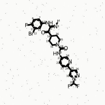 O=C(/C(=N/I)Nc1ccc(F)c(Br)c1)C1CCN(C(=O)Nc2ccc(-c3cnn(C(F)F)c3)nc2)CC1